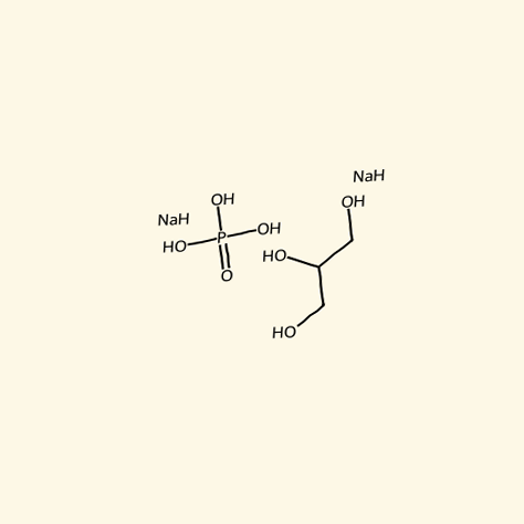 O=P(O)(O)O.OCC(O)CO.[NaH].[NaH]